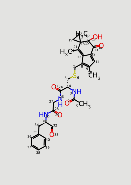 CC(=O)N[C@@H](CSCC1=C(C)C=C2C(=O)[C@](C)(O)C3(CC3)C(C)=C21)C(=O)NCC(=O)N[C@@H](C=O)Cc1ccccc1